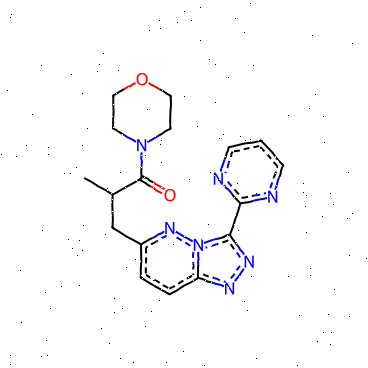 CC(Cc1ccc2nnc(-c3ncccn3)n2n1)C(=O)N1CCOCC1